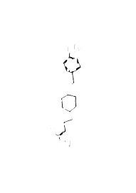 CCCCc1ccc(CO[C@H]2CC[C@H](CCC=C(F)C#N)CC2)cc1